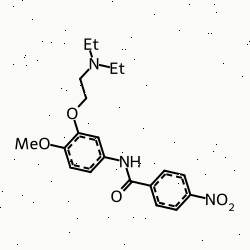 CCN(CC)CCOc1cc(NC(=O)c2ccc([N+](=O)[O-])cc2)ccc1OC